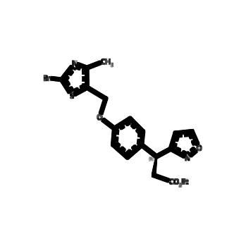 CCOC(=O)C[C@@H](c1ccc(OCc2sc(Br)nc2C)cc1)c1ccon1